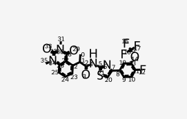 CC(C(=O)Nc1nc(-c2ccc(F)c(OC(F)(F)F)c2)cs1)c1cccc2c1c(=O)n(C)c(=O)n2C